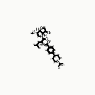 CS[C@H]1CN(C(=O)C(CC(C)C)NC(=O)c2ccc(C3CCN(C(C)C)CC3)cc2)[C@@H]2C(=O)CO[C@H]12